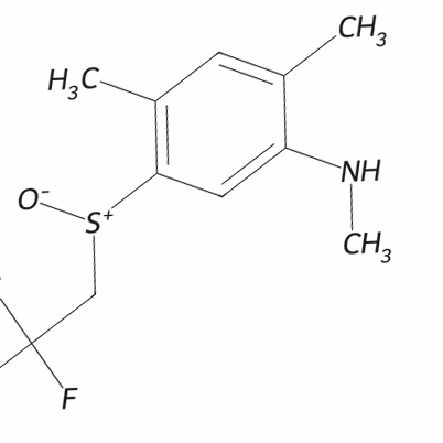 CNc1cc([S+]([O-])CC(F)(F)F)c(C)cc1C